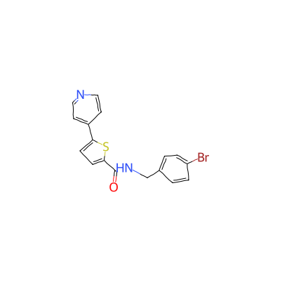 O=C(NCc1ccc(Br)cc1)c1ccc(-c2ccncc2)s1